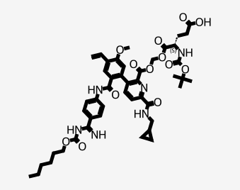 C=Cc1cc(C(=O)Nc2ccc(C(=N)NC(=O)OCCCCCC)cc2)c(-c2ccc(C(=O)NCC3CC3)nc2C(=O)OCOC(=O)[C@H](CCC(=O)O)NC(=O)OC(C)(C)C)cc1OC